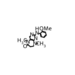 COc1ccccc1Nc1ncc2c(n1)N(C)CCC(=O)N2C